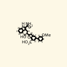 COc1cccc(-c2cc3c(c(C(=O)O)c2)OC([C@@H](CO)Cc2c(C(N)=O)[nH]c4ccccc24)C3)c1